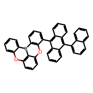 c1ccc2c(c1)Oc1cccc3c1B2c1cccc(-c2c4ccccc4c(-c4cccc5ccccc45)c4ccccc24)c1O3